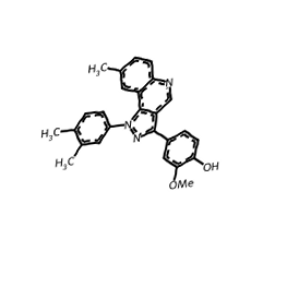 COc1cc(-c2nn(-c3ccc(C)c(C)c3)c3c2cnc2ccc(C)cc23)ccc1O